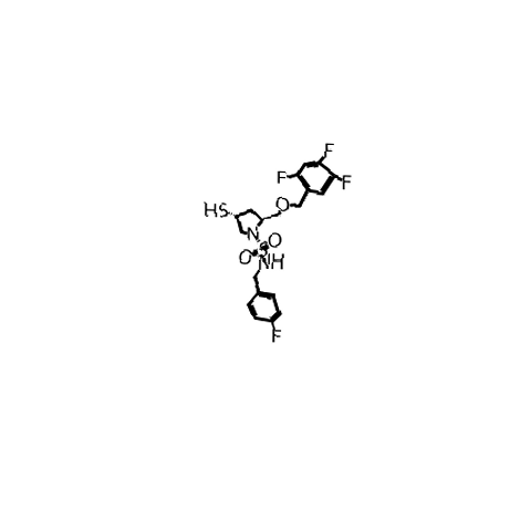 O=S(=O)(NCc1ccc(F)cc1)N1C[C@H](S)C[C@H]1COCc1cc(F)c(F)cc1F